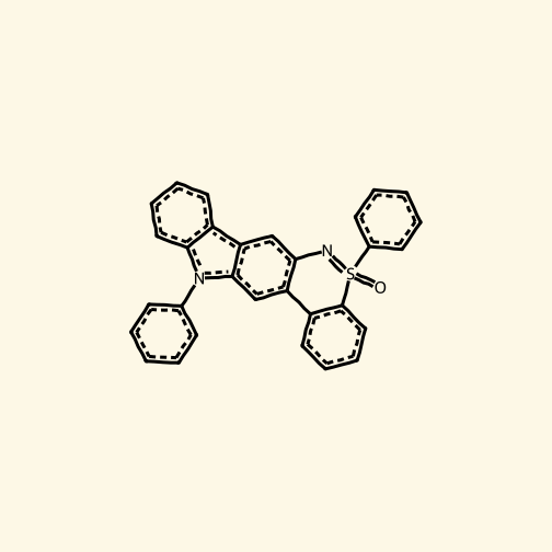 O=S1(c2ccccc2)=Nc2cc3c4ccccc4n(-c4ccccc4)c3cc2-c2ccccc21